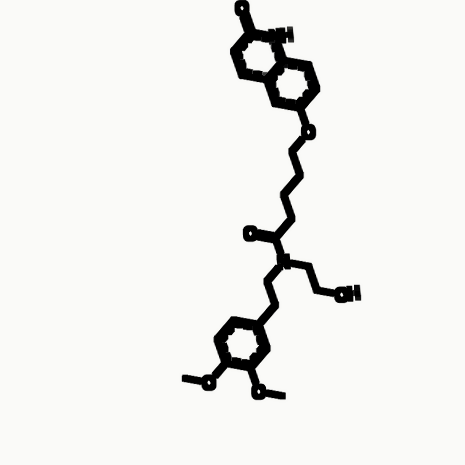 COc1ccc(CCN(CCO)C(=O)CCCCOc2ccc3[nH]c(=O)ccc3c2)cc1OC